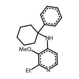 CCc1nccc(NC2(c3ccccc3)CCCCC2)c1OC